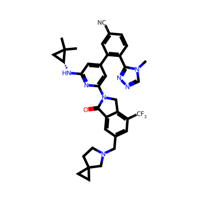 Cn1cnnc1-c1ccc(C#N)cc1-c1cc(N[C@@H]2CC2(C)C)nc(N2Cc3c(cc(CN4CCC5(CC5)C4)cc3C(F)(F)F)C2=O)c1